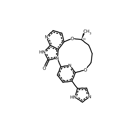 C[C@H]1CCCOc2nc(ccc2-c2cnc[nH]2)-n2c(=O)[nH]c3nccc(c32)O1